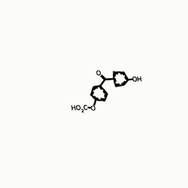 O=C(O)Oc1ccc(C(=O)c2ccc(O)cc2)cc1